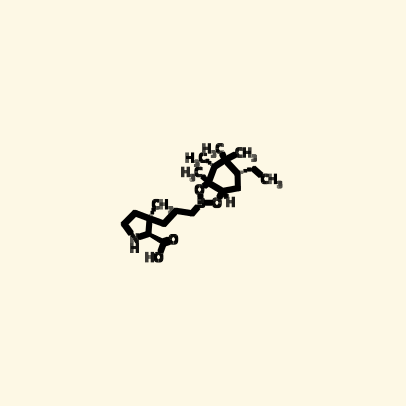 CC[C@@H]1C[C@@H]2OB(CCC[C@]3(C)CCN[C@@H]3C(=O)O)O[C@]2(C)[C@H](C)C1(C)C